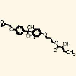 CC=C(O)C(=O)OCCCOc1ccc(C(C)(C)c2ccc(OCC3CO3)cc2)cc1